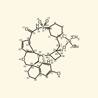 CC(C)(C)[Si](C)(C)O[C@H]1C2CCC[C@H](C2)S(=O)(=O)NC(=O)c2ccc3c(c2)N(C[C@@H]2CC[C@H]21)C[C@@]1(CCCc2cc(Cl)ccc21)CO3